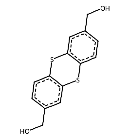 OCc1ccc2c(c1)Sc1ccc(CO)cc1S2